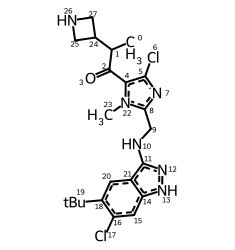 CC(C(=O)c1c(Cl)nc(CNc2n[nH]c3cc(Cl)c(C(C)(C)C)cc23)n1C)C1CNC1